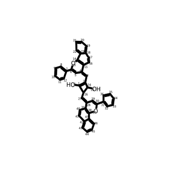 OC1=C(/C=C2\C=C(c3ccccc3)Oc3c2ccc2ccccc32)C(O)C1/C=C1\C=C(c2ccccc2)Oc2c1ccc1ccccc21